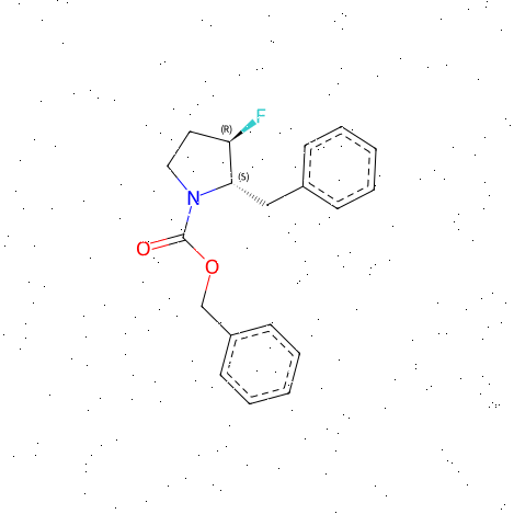 O=C(OCc1ccccc1)N1CC[C@@H](F)[C@@H]1Cc1ccccc1